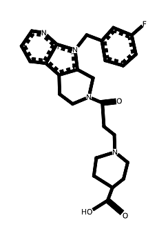 O=C(O)C1CCN(CCC(=O)N2CCc3c(n(Cc4cccc(F)c4)c4ncccc34)C2)CC1